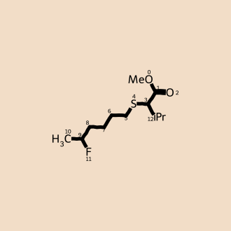 COC(=O)C(SCCCCC(C)F)C(C)C